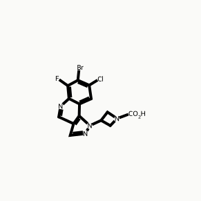 O=C(O)N1CC(n2ncc3cnc4c(F)c(Br)c(Cl)cc4c32)C1